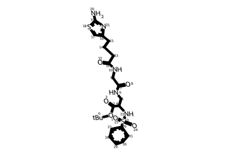 CC(C)(C)OC(=O)C(CNC(=O)CNC(=O)CCCc1csc(N)n1)NS(=O)(=O)c1ccccc1